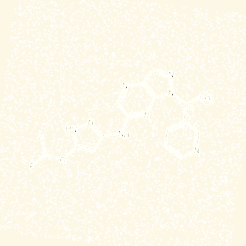 C[C@H](c1cccnc1)n1ncc2ncc(Nc3cc(OC(F)F)[nH]n3)nc21